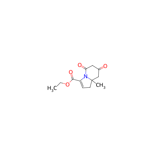 CCOC(=O)C1=CCC2(C)CC(=O)CC(=O)N12